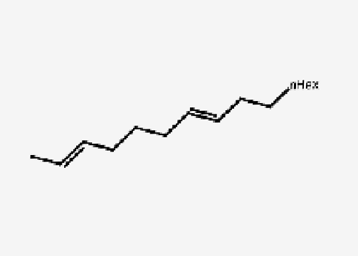 [CH2]CCCCCCCC=CCCCC=CC